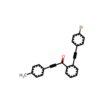 Cc1ccc(C#CC(=O)c2ccccc2C#Cc2ccc(Br)cc2)cc1